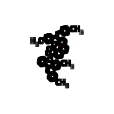 Cc1ccc(C=C(c2ccc(C)cc2)c2ccccc2OC(=O)c2ccc3ccccc3c2C(=O)Oc2ccccc2C(=Cc2ccc(C)cc2)c2ccc(C)cc2)cc1